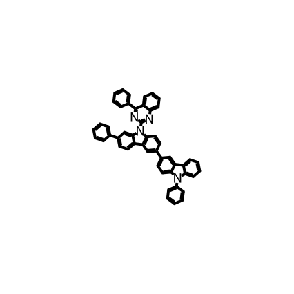 c1ccc(-c2ccc3c4cc(-c5ccc6c(c5)c5ccccc5n6-c5ccccc5)ccc4n(-c4nc(-c5ccccc5)c5ccccc5n4)c3c2)cc1